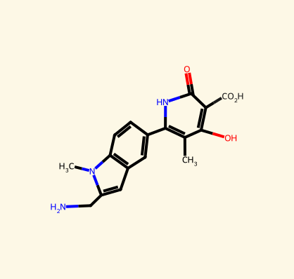 Cc1c(-c2ccc3c(c2)cc(CN)n3C)[nH]c(=O)c(C(=O)O)c1O